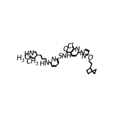 CC1(C)C[C@H](CCCNc2cccc(SNC(=O)c3ccc(-n4ccc(OCCC5CCC56CC6)n4)nc3Cl)n2)CN1